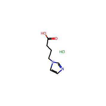 Cl.O=C(O)CCCn1ccnc1